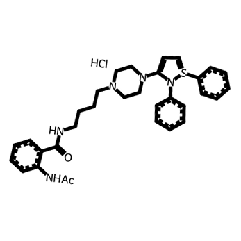 CC(=O)Nc1ccccc1C(=O)NCCCCN1CCN(C2=CC=S(c3ccccc3)N2c2ccccc2)CC1.Cl